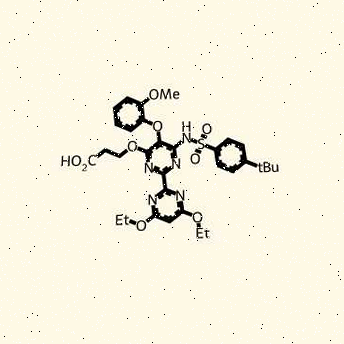 CCOc1cc(OCC)nc(-c2nc(NS(=O)(=O)c3ccc(C(C)(C)C)cc3)c(Oc3ccccc3OC)c(OCCC(=O)O)n2)n1